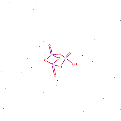 O=P1(O)OP2(=O)OP(=O)(O1)O2